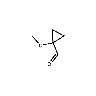 COC1(C=O)CC1